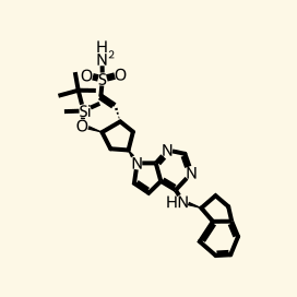 CC(C)(C)[Si](C)(C)O[C@@H]1C[C@H](n2ccc3c(N[C@H]4CCc5ccccc54)ncnc32)C[C@H]1/C=C/S(N)(=O)=O